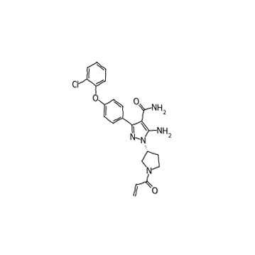 C=CC(=O)N1CC[C@@H](n2nc(-c3ccc(Oc4ccccc4Cl)cc3)c(C(N)=O)c2N)C1